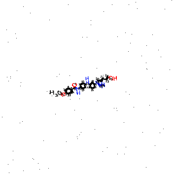 COc1ccc(C(=O)Nc2ccc(Nc3cccc(-n4cc(CCCO)nn4)c3)cc2)cc1